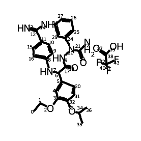 CCOc1cc(C(Nc2ccc(C(=N)N)cc2)C(=O)NN(C(N)=O)c2ccccc2)ccc1OC(C)C.O=C(O)C(F)(F)F